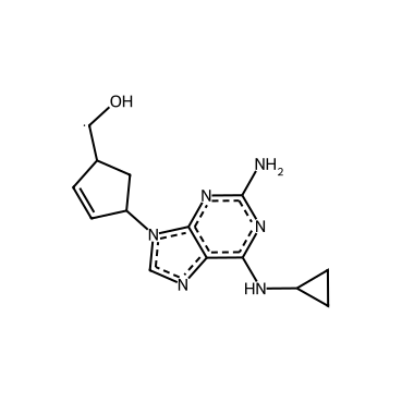 Nc1nc(NC2CC2)c2ncn(C3C=CC([CH]O)C3)c2n1